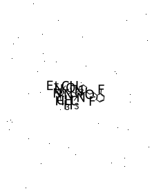 CCn1nc(C)c(NC(=O)c2c(C)nc3c(OCc4c(F)cccc4F)cccn23)c1C